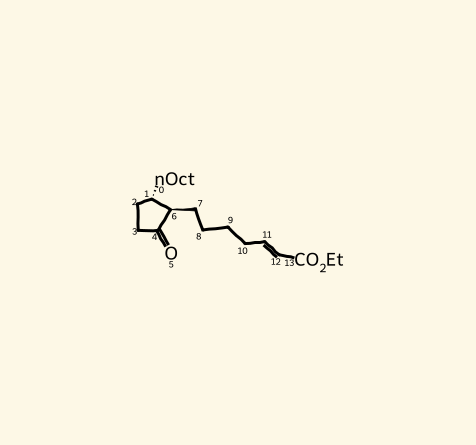 CCCCCCCC[C@H]1CCC(=O)[C@@H]1CCCCC=CC(=O)OCC